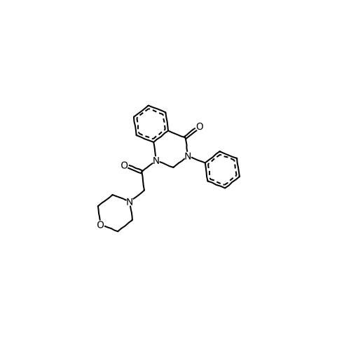 O=C1c2ccccc2N(C(=O)CN2CCOCC2)CN1c1ccccc1